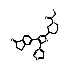 O=C1CCc2cc(-c3cc(C4CCCN(C(=O)CCl)C4)oc3-c3ccncc3)ccc21